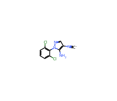 [C-]#[N+]c1cnn(-c2c(Cl)cccc2Cl)c1N